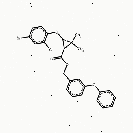 CC1(C)C(Oc2ccc(Br)cc2Cl)C1C(=O)OCc1cccc(Oc2ccccc2)c1